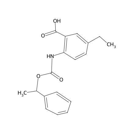 CCc1ccc(NC(=O)OC(C)c2ccccc2)c(C(=O)O)c1